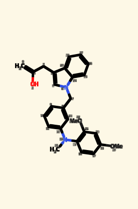 C=C(O)Cc1cn(Cc2cccc(N(C)c3ccc(OC)cc3OC)c2)c2ccccc12